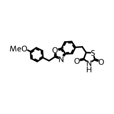 COc1ccc(Cc2nc3cc(CC4SC(=O)NC4=O)ccc3o2)cc1